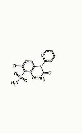 NC(=O)N(c1ccccn1)c1ccc(Cl)c(S(N)(=O)=O)c1O